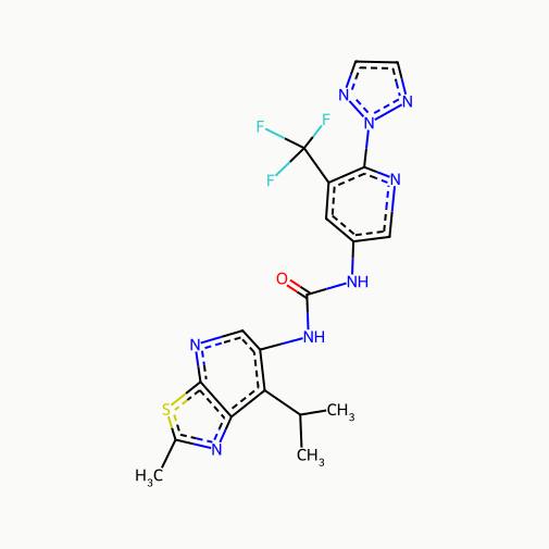 Cc1nc2c(C(C)C)c(NC(=O)Nc3cnc(-n4nccn4)c(C(F)(F)F)c3)cnc2s1